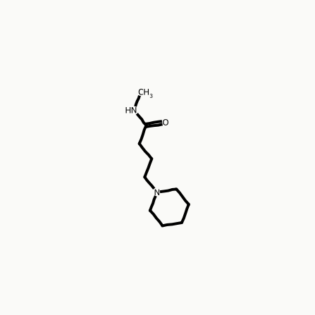 CNC(=O)CCCN1CCCCC1